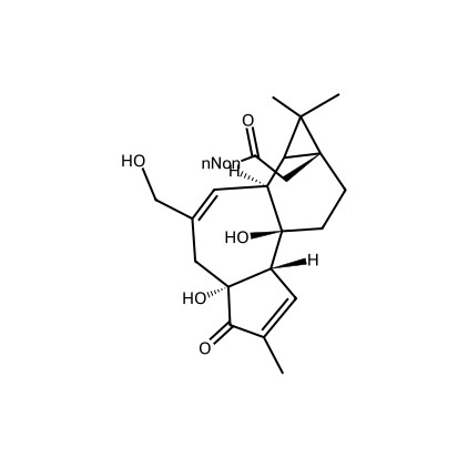 CCCCCCCCCC(=O)C[C@@]12CC[C@@]3(O)[C@@H](C=C(CO)C[C@]4(O)C(=O)C(C)=C[C@@H]34)C1C2(C)C